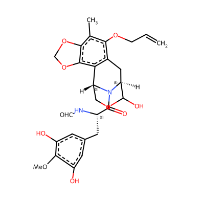 C=CCOc1c(C)c2c(c3c1C[C@H]1C(O)OC[C@H]3N1C(=O)[C@H](Cc1cc(O)c(OC)c(O)c1)NC=O)OCO2